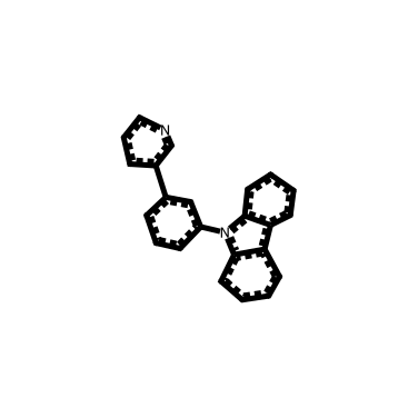 c1cncc(-c2cccc(-n3c4ccccc4c4ccccc43)c2)c1